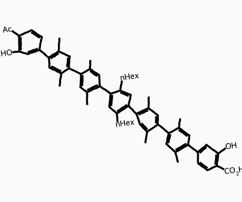 CCCCCCc1cc(-c2cc(C)c(-c3cc(C)c(-c4ccc(C(=O)O)c(O)c4)cc3C)cc2C)c(CCCCCC)cc1-c1cc(C)c(-c2cc(C)c(-c3ccc(C(C)=O)c(O)c3)cc2C)cc1C